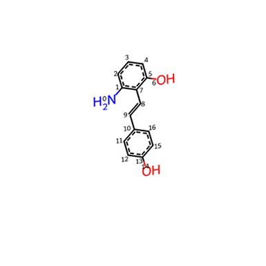 Nc1cccc(O)c1/C=C/c1ccc(O)cc1